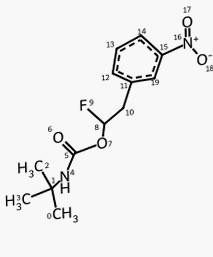 CC(C)(C)NC(=O)OC(F)Cc1cccc([N+](=O)[O-])c1